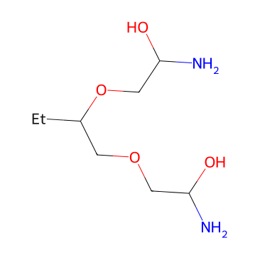 CCC(COCC(N)O)OCC(N)O